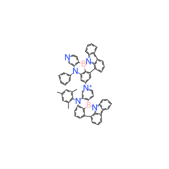 Cc1cc(C)c(N2c3c[n+](-c4cc5c6c(c4)N(c4ccccc4)c4cnccc4B6n4c6ccccc6c6cccc-5c64)ccc3B3c4c(cccc42)-c2cccc4c5ccccc5n3c24)c(C)c1